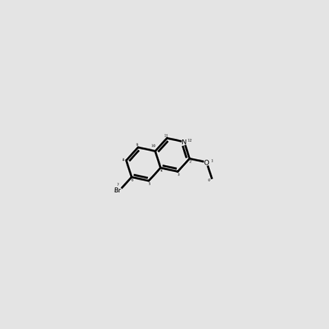 COc1cc2cc(Br)ccc2cn1